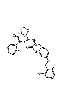 Cc1ccccc1NC(=O)[C@@H]1OCO[C@H]1C(=O)N[C@@H](Cc1ccc(OCc2c(Cl)cccc2Cl)cc1)C(=O)O